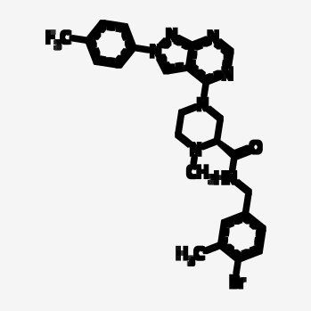 Cc1cc(CNC(=O)[C@@H]2CN(c3ncnc4nn(-c5ccc(C(F)(F)F)cc5)cc34)CCN2C)ccc1Br